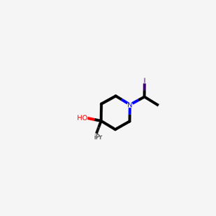 CC(I)N1CCC(O)(C(C)C)CC1